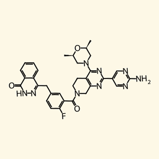 C[C@@H]1CN(c2nc(-c3cnc(N)nc3)nc3c2CCN(C(=O)c2cc(Cc4n[nH]c(=O)c5ccccc45)ccc2F)C3)C[C@H](C)O1